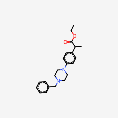 CCOC(=O)C(C)c1ccc(N2CCN(Cc3ccccc3)CC2)cc1